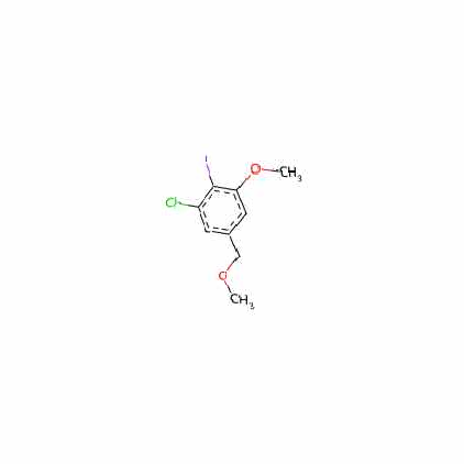 COCc1cc(Cl)c(I)c(OC)c1